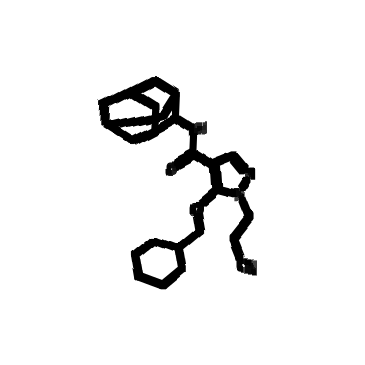 N#CCCn1ncc(C(=O)NC2C3CC4CC(C3)CC2C4)c1OCC1CCCCC1